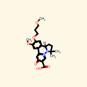 COCCCOc1cc2c(cc1OC)-c1cc(=O)c(C(=O)O)cn1N1[C@H]2CCC1(C)C